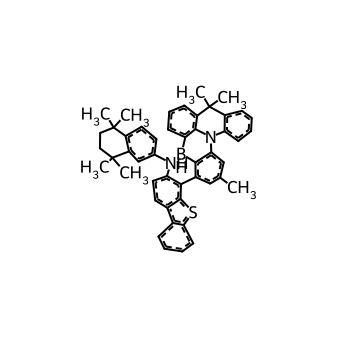 Cc1cc(-c2c(Nc3ccc4c(c3)C(C)(C)CCC4(C)C)ccc3c2sc2ccccc23)c2c(c1)N1c3ccccc3C(C)(C)c3cccc(c31)B2